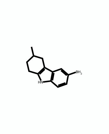 Bc1ccc2[nH]c3c(c2c1)CC(C)CC3